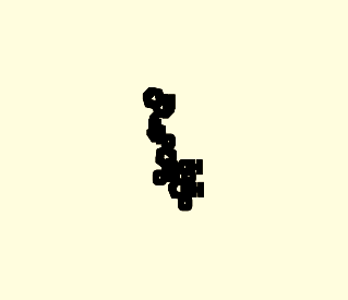 O=C1CCC(N2C(=O)c3ccc(O[C@@H]4CCN(Cc5ccnc6ccccc56)C4)cc3C2O)C(=O)N1